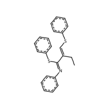 CCC(=C\Sc1ccccc1)/C(=N/c1ccccc1)Sc1ccccc1